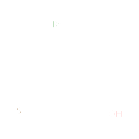 Oc1ccc(C(=C2CCSCC2)c2ccc(Br)cc2)cc1